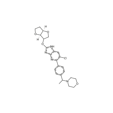 CC(c1ccc(-c2nc3nc(OC4CO[C@@H]5CCO[C@H]45)[nH]c3cc2Cl)cc1)N1CCOCC1